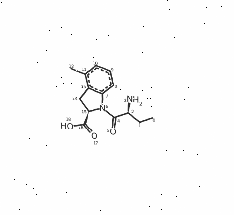 CC[C@H](N)C(=O)N1c2cccc(C)c2C[C@@H]1C(=O)O